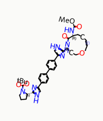 COC(=O)N[C@@H]1CC/C=C\COCC[C@@H](c2nc(-c3ccc(-c4ccc(-c5c[nH]c([C@@H]6CCCN6C(=O)OC(C)(C)C)n5)cc4)cc3)c[nH]2)NC1=O